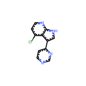 Clc1ccnc2[nH]cc(-c3ccncn3)c12